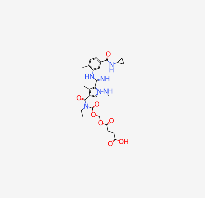 CCN(C(=O)OCOC(=O)CCC(=O)O)C(=O)c1cn(NC)c(C(=N)Nc2cc(C(=O)NC3CC3)ccc2C)c1C